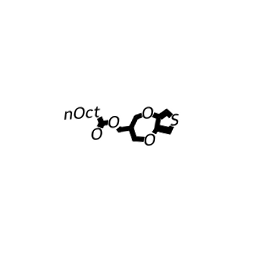 CCCCCCCCC(=O)OCC1COc2cscc2OC1